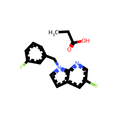 CCC(=O)O.Fc1cccc(Cn2ccc3cc(F)cnc32)c1